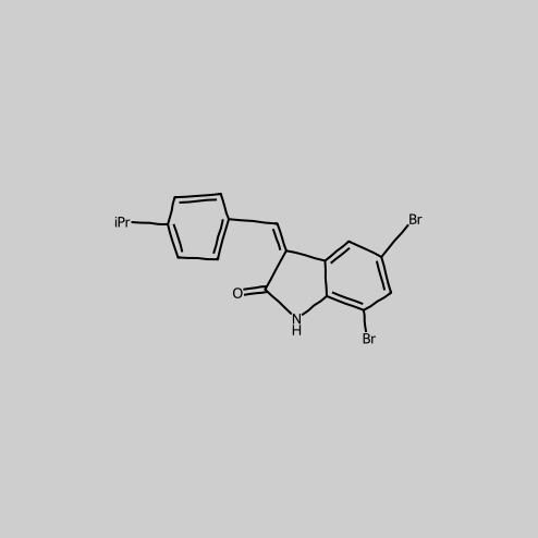 CC(C)c1ccc(C=C2C(=O)Nc3c(Br)cc(Br)cc32)cc1